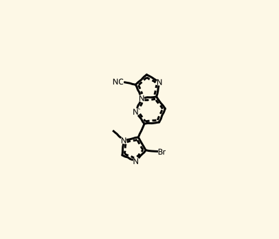 Cn1cnc(Br)c1-c1ccc2ncc(C#N)n2n1